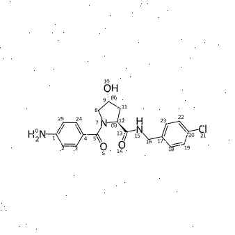 Nc1ccc(C(=O)N2C[C@H](O)C[C@H]2C(=O)NCc2ccc(Cl)cc2)cc1